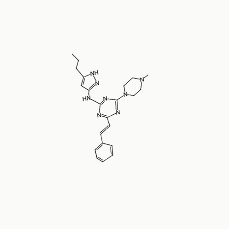 CCCc1cc(Nc2nc(/C=C/c3ccccc3)nc(N3CCN(C)CC3)n2)n[nH]1